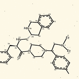 CCN(CC)CC(c1ccc(Cl)cc1)N1CCN(C(=O)[C@@H](Cc2ccc(Cl)cc2)NC[C@H]2Cc3ccccc3CN2)CC1